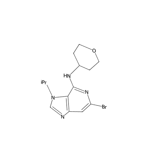 CC(C)n1cnc2cc(Br)nc(NC3CCOCC3)c21